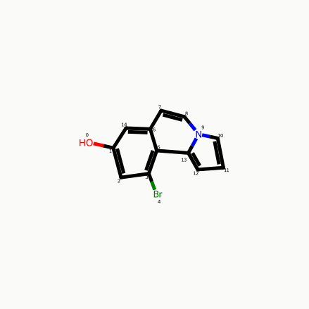 Oc1cc(Br)c2c(ccn3cccc23)c1